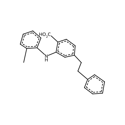 Cc1ccccc1Nc1cc(CCc2ccccc2)ccc1C(=O)O